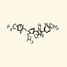 Cc1ccc(-c2nc(Cl)c(-c3ccc(CCc4ncc(C(F)(F)F)cc4F)c(C)c3)[nH]2)cn1